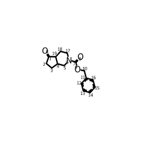 O=C1CCC2CN(C(=O)OCc3ccccc3)CCC12